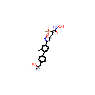 Cc1cc(C2=NO[C@@H](C[C@](C)(C(=O)NO)S(C)(=O)=O)C2)ccc1-c1ccc(C[C@@H](C)O)cc1